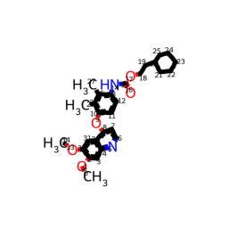 COc1cc2nccc(Oc3ccc(NC(=O)OCCC4CCCCC4)c(C)c3C)c2cc1OC